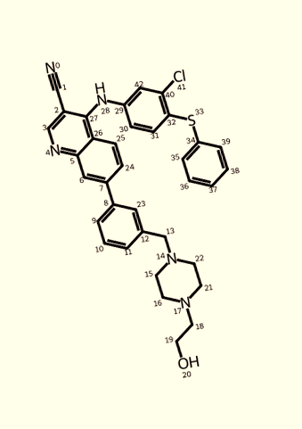 N#Cc1cnc2cc(-c3cccc(CN4CCN(CCO)CC4)c3)ccc2c1Nc1ccc(Sc2ccccc2)c(Cl)c1